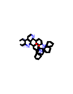 C/C=c1\c(=C/C)nc(-c2ccc3c(c2)c2ccccc2n3-c2ccccc2)c2c(-c3ccc4c(c3)c3ccccc3n4-c3ccccc3)nccc12